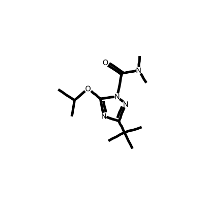 CC(C)Oc1nc(C(C)(C)C)nn1C(=O)N(C)C